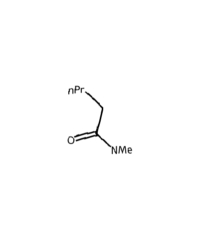 [CH2]NC(=O)CCCC